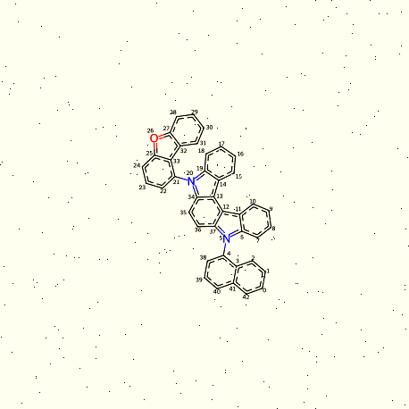 c1ccc2c(-n3c4ccccc4c4c5c6ccccc6n(-c6cccc7oc8ccccc8c67)c5ccc43)cccc2c1